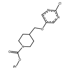 CC(C)OC(=O)N1CCC(COc2cnc(Cl)nc2)CC1